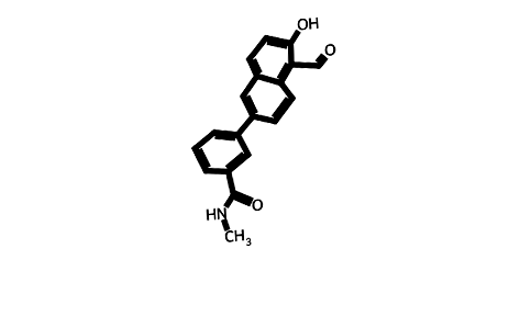 CNC(=O)c1cccc(-c2ccc3c(C=O)c(O)ccc3c2)c1